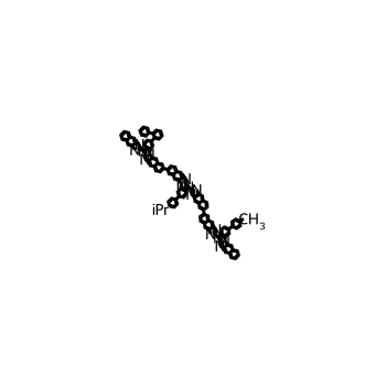 Cc1ccc(-c2cc3c4c(c2)n2c5cc6cc(-c7ccc8cc9nc%10n(c9cc8c7)c7cc(-c8ccc(C(C)C)cc8)cc8c7n%10c7nc9cc%10ccc(-c%11ccc%12cc%13nc%14n(c%13cc%12c%11)c%11cc(-c%12ccccc%12-c%12ccccc%12)cc%12c%11n%14c%11nc%13cc%14ccccc%14cc%13n%12%11)cc%10cc9n87)ccc6cc5nc2n4c2nc4cc5ccccc5cc4n32)cc1